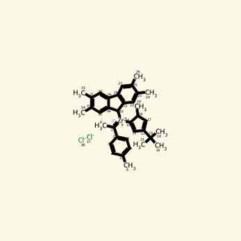 C/[C](c1ccc(C)cc1)=[Zr+2](/[C]1=CC(C(C)(C)C)=CC1C)[CH]1c2cc(C)c(C)cc2-c2cc(C)c(C)cc21.[Cl-].[Cl-]